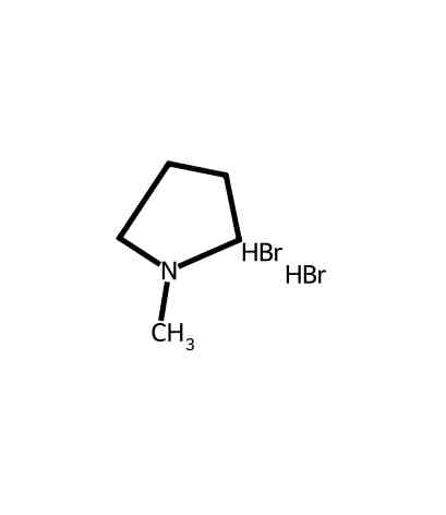 Br.Br.CN1CCCC1